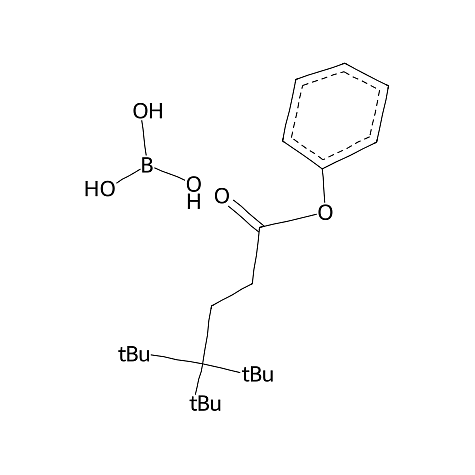 CC(C)(C)C(CCC(=O)Oc1ccccc1)(C(C)(C)C)C(C)(C)C.OB(O)O